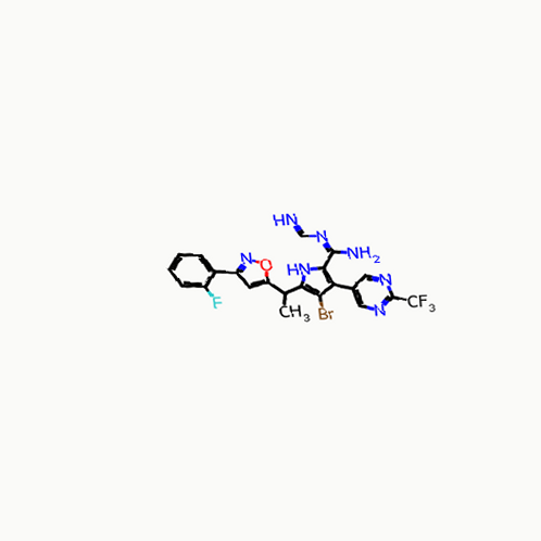 CC(c1cc(-c2ccccc2F)no1)c1[nH]c(/C(N)=N\C=N)c(-c2cnc(C(F)(F)F)nc2)c1Br